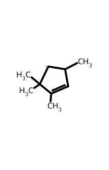 CC1=CC(C)[CH]C1(C)C